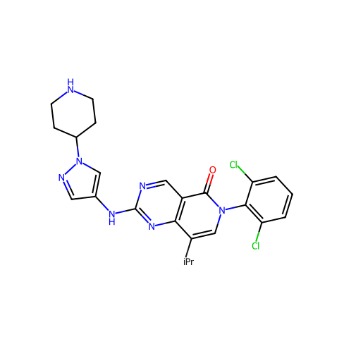 CC(C)c1cn(-c2c(Cl)cccc2Cl)c(=O)c2cnc(Nc3cnn(C4CCNCC4)c3)nc12